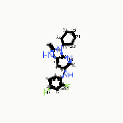 C=C1Nc2cc(Nc3ccc(F)cc3F)cnc2N1C1CCCCC1